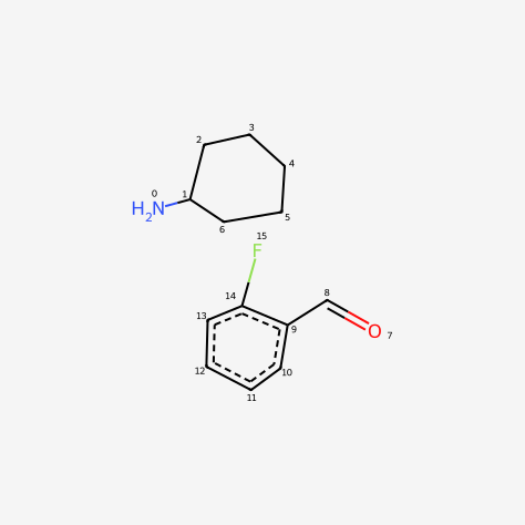 NC1CCCCC1.O=Cc1ccccc1F